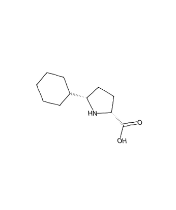 O=C(O)[C@H]1CC[C@@H](C2CCCCC2)N1